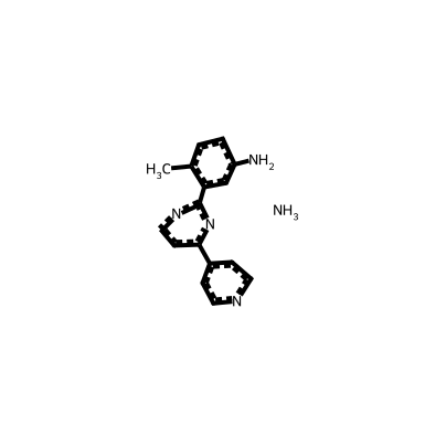 Cc1ccc(N)cc1-c1nccc(-c2ccncc2)n1.N